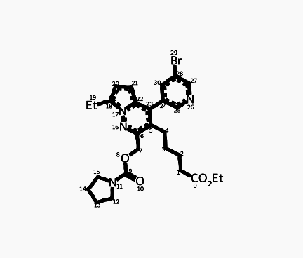 CCOC(=O)CCCCc1c(COC(=O)N2CCCC2)nn2c(CC)ccc2c1-c1cncc(Br)c1